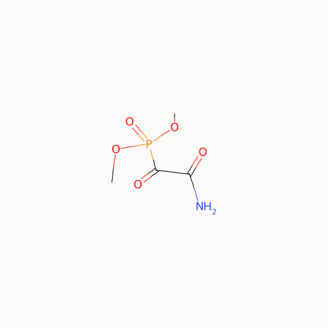 COP(=O)(OC)C(=O)C(N)=O